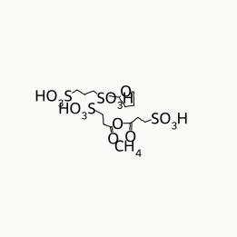 C.CC1CCCO1.O=C(CCS(=O)(=O)O)OC(=O)CCS(=O)(=O)O.O=S(=O)(O)CCCS(=O)(=O)O